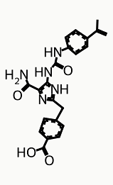 C=C(C)c1ccc(NC(=O)Nc2[nH]c(Cc3ccc(C(=O)O)cc3)nc2C(N)=O)cc1